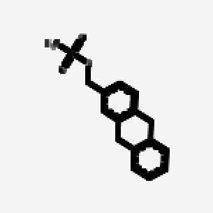 CS(=O)(=O)OCc1ccc2c(c1)Cc1ccccc1C2